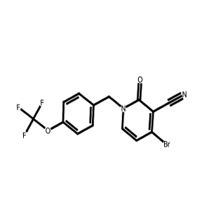 N#Cc1c(Br)ccn(Cc2ccc(OC(F)(F)F)cc2)c1=O